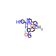 Cc1ccc2c(N3CCCC3=O)c(F)ccc2c1Oc1ncccc1-c1ccnc(N[C@H]2CCCNC2)n1